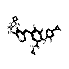 CC1(NS(=O)(=O)Nc2nccc(Cc3cc(C(=O)NC4CC4)c(Nc4ccc(C5CC5)cc4F)c(F)c3F)c2F)CCC1